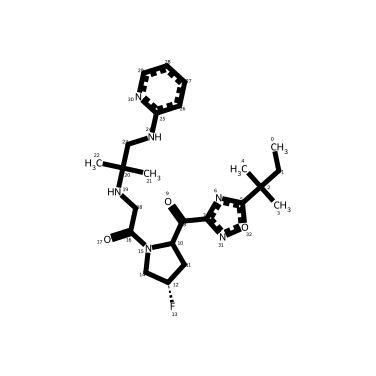 CCC(C)(C)c1nc(C(=O)C2C[C@H](F)CN2C(=O)CNC(C)(C)CNc2ccccn2)no1